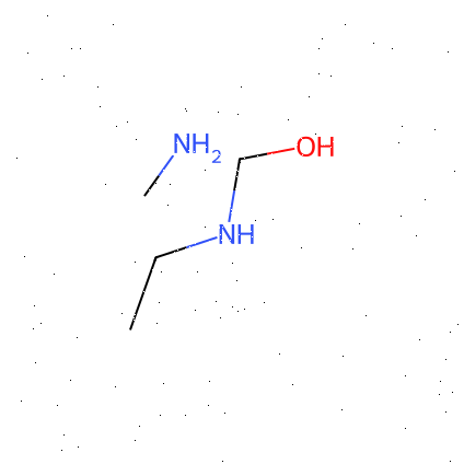 CCNCO.CN